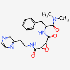 CN(C)C(=O)[C@H](Cc1ccccc1)NC(=O)C1OC1C(=O)NCCc1cnccn1